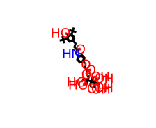 CC(C)(C)c1cc(CCC(=O)Nc2ccc(OCC(=O)OCC(CO)(CO)C(CO)(CO)C(CO)(CO)CO)cc2)cc(C(C)(C)C)c1O